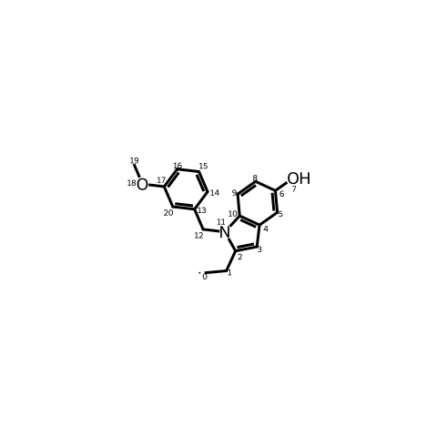 [CH2]Cc1cc2cc(O)ccc2n1Cc1cccc(OC)c1